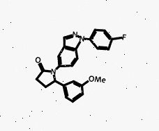 COc1cccc(C2CCC(=O)N2c2ccc3c(cnn3-c3ccc(F)cc3)c2)c1